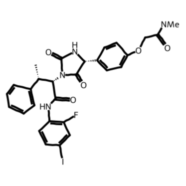 CNC(=O)COc1ccc([C@H]2NC(=O)N([C@H](C(=O)Nc3ccc(I)cc3F)[C@@H](C)c3ccccc3)C2=O)cc1